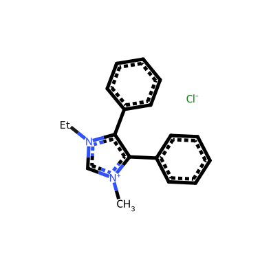 CCn1c[n+](C)c(-c2ccccc2)c1-c1ccccc1.[Cl-]